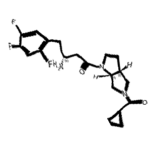 N[C@@H](CC(=O)N1CC[C@@H]2CN(C(=O)C3CC3)C[C@@H]21)Cc1cc(F)c(F)cc1F